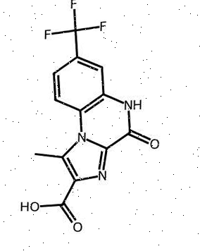 Cc1c(C(=O)O)nc2c(=O)[nH]c3cc(C(F)(F)F)ccc3n12